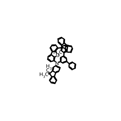 CC1(C)c2ccccc2-c2ccc(N(c3cc(-c4ccccc4)cc(-c4ccccc4)c3)c3cccc4c3oc3c(C5(C)c6ccccc6-c6ccccc65)cccc34)cc21